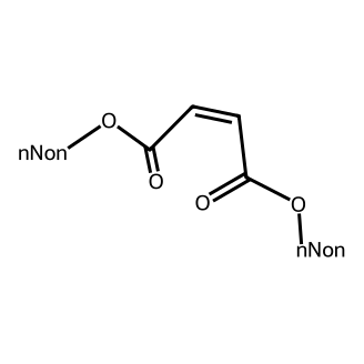 CCCCCCCCCOC(=O)/C=C\C(=O)OCCCCCCCCC